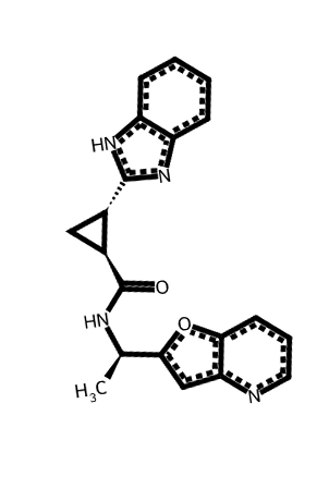 C[C@@H](NC(=O)[C@H]1C[C@@H]1c1nc2ccccc2[nH]1)c1cc2ncccc2o1